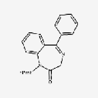 CCCCCN1C(=O)CN=C(c2ccccc2)c2ccccc21